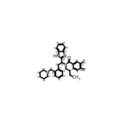 CCCCN(C(=O)c1ccc(F)c(F)c1)C(Cc1ccccc1CN1CCCCC1)c1nc2ccccc2[nH]1